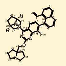 C=Cc1cccc2cccc(-c3ccc4c(N5C[C@H]6CC[C@@H](C5)N6)nc(OCC56CCCN5CCC6)nc4c3F)c12